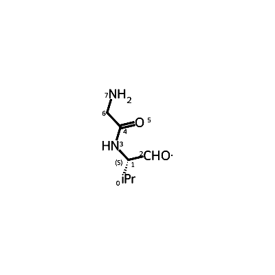 CC(C)[C@@H]([C]=O)NC(=O)CN